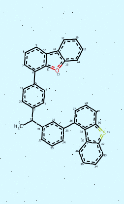 CC(c1ccc(-c2cccc3c2oc2ccccc23)cc1)c1cccc(-c2cccc3sc4ccccc4c23)c1